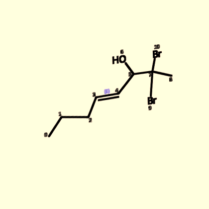 CCC/C=C/C(O)C(C)(Br)Br